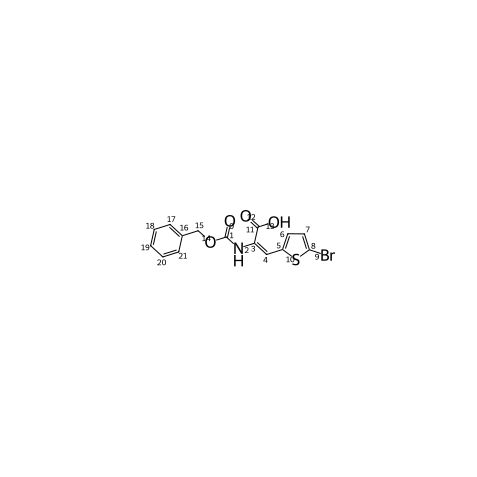 O=C(NC(=Cc1ccc(Br)s1)C(=O)O)OCc1ccccc1